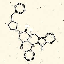 O=C1[C@H]2Cc3c([nH]c4ccccc34)[C@@H](c3ccccc3)N2C(=O)CN1[C@@H]1CCN(Cc2ccccc2)C1